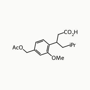 COc1cc(COC(C)=O)ccc1C(CC(=O)O)CC(C)C